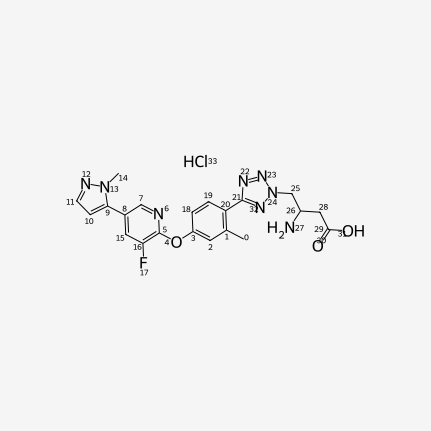 Cc1cc(Oc2ncc(-c3ccnn3C)cc2F)ccc1-c1nnn(CC(N)CC(=O)O)n1.Cl